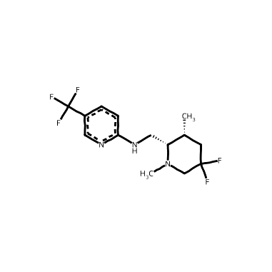 C[C@@H]1CC(F)(F)CN(C)[C@@H]1CNc1ccc(C(F)(F)F)cn1